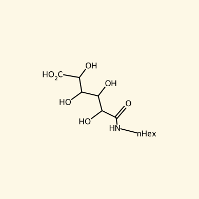 CCCCCCNC(=O)C(O)C(O)C(O)C(O)C(=O)O